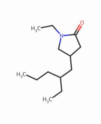 CCCC(CC)CC1CC(=O)N(CC)C1